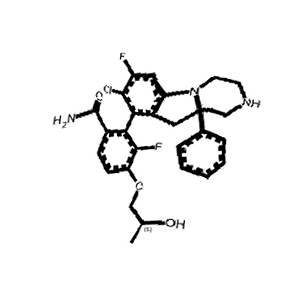 C[C@H](O)COc1ccc(C(N)=O)c(-c2c(Cl)c(F)cc3c2CC2(c4ccccc4)CNCCN32)c1F